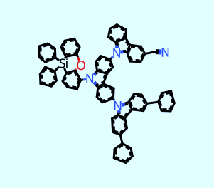 N#Cc1ccc2c(c1)c1ccccc1n2-c1ccc2c(c1)c1cc(-n3c4ccc(-c5ccccc5)cc4c4cc(-c5ccccc5)ccc43)ccc1n2-c1cccc2c1Oc1ccccc1[Si]2(c1ccccc1)c1ccccc1